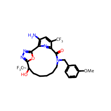 COc1cccc(CN2CCCCC[C@](O)(C(F)(F)F)c3nnc(o3)-c3nc(c(C(F)(F)F)cc3N)C2=O)c1